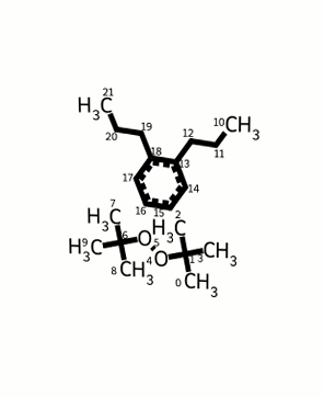 CC(C)(C)OOC(C)(C)C.CCCc1ccccc1CCC